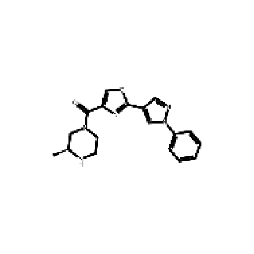 C[C@H]1CN(C(=O)c2coc(-c3cnn(-c4ccccc4)c3)n2)CCN1